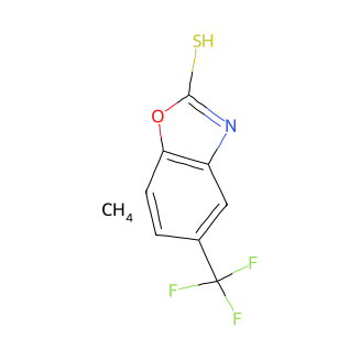 C.FC(F)(F)c1ccc2oc(S)nc2c1